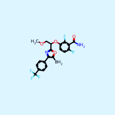 Bc1oc(C(COC)Oc2ccc(F)c(C(N)=O)c2F)nc1-c1ccc(C(F)(F)F)cc1